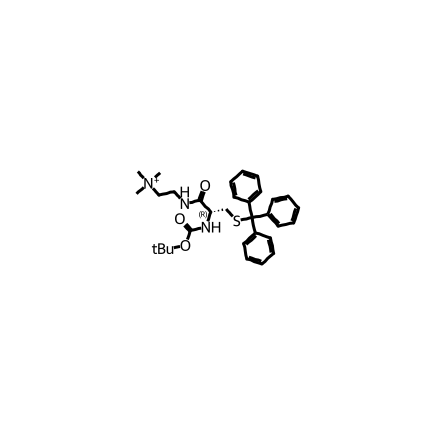 CC(C)(C)OC(=O)N[C@@H](CSC(c1ccccc1)(c1ccccc1)c1ccccc1)C(=O)NCC[N+](C)(C)C